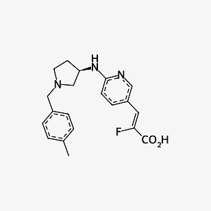 Cc1ccc(CN2CC[C@@H](Nc3ccc(C=C(F)C(=O)O)cn3)C2)cc1